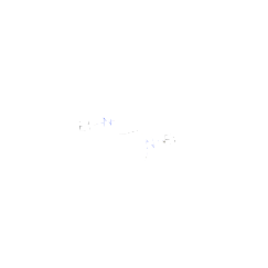 CC[N]CC[N+](C)CC